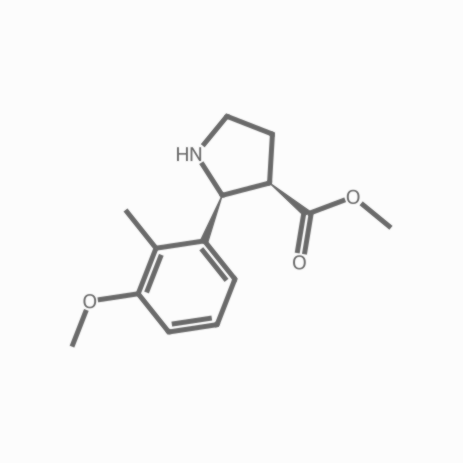 COC(=O)[C@@H]1CCN[C@@H]1c1cccc(OC)c1C